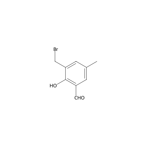 Cc1cc(C=O)c(O)c(CBr)c1